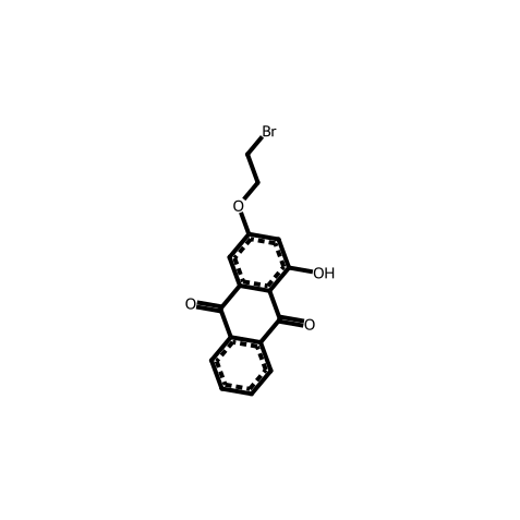 O=C1c2ccccc2C(=O)c2c(O)cc(OCCBr)cc21